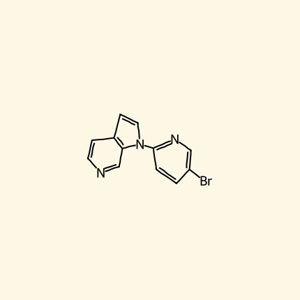 Brc1ccc(-n2ccc3ccncc32)nc1